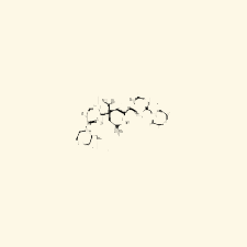 C[C@H]1COCCN1c1ncnc(C2=CC(c3ncnc(N4CCOC[C@@H]4C)n3)(C(F)F)CC(N)=N2)n1